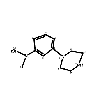 CN(c1cccc(N2CCNCC2)c1)C(C)(C)C